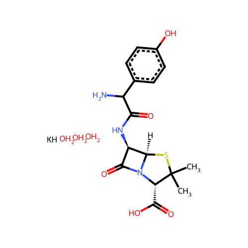 CC1(C)S[C@@H]2[C@H](NC(=O)C(N)c3ccc(O)cc3)C(=O)N2[C@H]1C(=O)O.O.O.O.[KH]